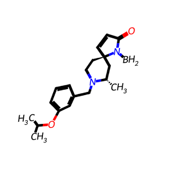 BN1C(=O)C=C[C@]12CCN(Cc1cccc(OC(C)C)c1)[C@@H](C)C2